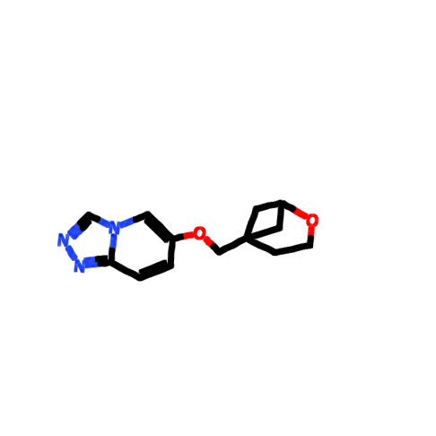 c1cc2nncn2cc1OCC12CCOC(C1)C2